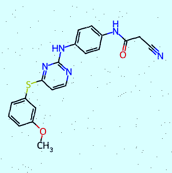 COc1cccc(Sc2ccnc(Nc3ccc(NC(=O)CC#N)cc3)n2)c1